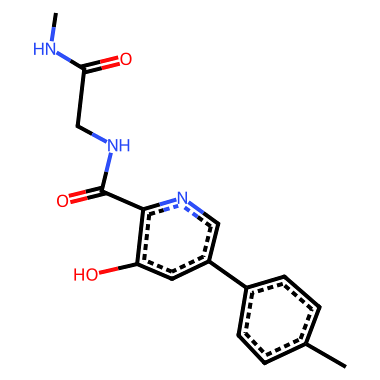 CNC(=O)CNC(=O)c1ncc(-c2ccc(C)cc2)cc1O